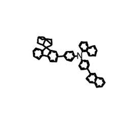 c1ccc2c(c1)-c1ccc(-c3ccc(N(c4ccc(-c5ccc6ccccc6c5)cc4)c4cccc5ccccc45)cc3)cc1C21C2CC3CC(C2)C1C3